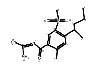 CCCC(C)c1cc(C)c(C(=O)N=C(N)N)cc1S(C)(=O)=O